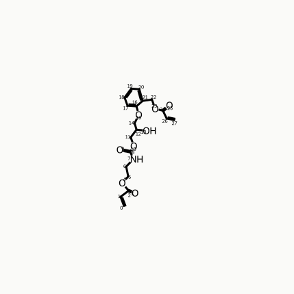 C=CC(=O)OCCNC(=O)OCC(O)COc1ccccc1COC(=O)C=C